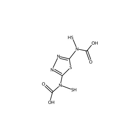 O=C(O)N(S)c1nnc(N(S)C(=O)O)s1